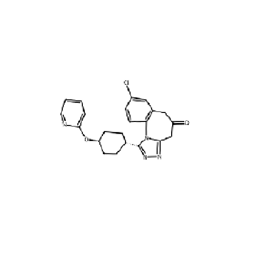 O=C1Cc2cc(Cl)ccc2-n2c(nnc2[C@H]2CC[C@H](Oc3ccccn3)CC2)C1